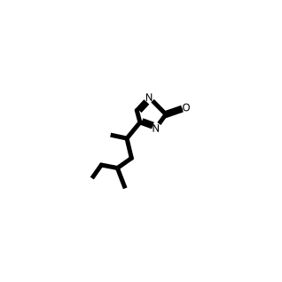 CCC(C)CC(C)C1=NC(=O)N=C1